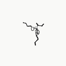 CCCCO[SiH](OCCCC)C(C)CC